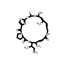 CC1=C\C(O)CC(F)Cc2nc(co2)C(=O)N2CCCC2C(=O)OC(C(C)CN)C(C)/C=C/C(=O)NC\C=C\1